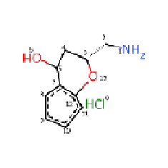 Cl.NC[C@H]1CC(O)c2ccccc2O1